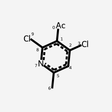 CC(=O)c1c(Cl)cc(C)nc1Cl